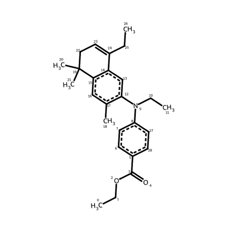 CCOC(=O)c1ccc(N(CC)c2cc3c(cc2C)C(C)(C)CC=C3CC)cc1